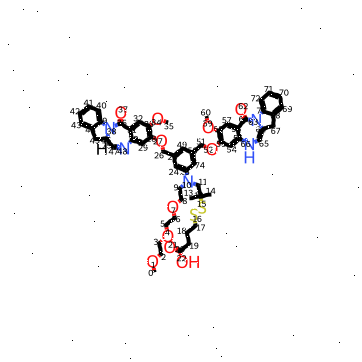 COCCOCCOCCN(CC(C)(C)SSCCCC(=O)O)c1cc(COc2cc3c(cc2OC)C(=O)N2c4ccccc4C[C@H]2C=N3)cc(COc2cc3c(cc2OC)C(=O)N2C(=CN3)Cc3ccccc32)c1